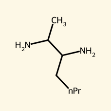 CCCCC(N)C(C)N